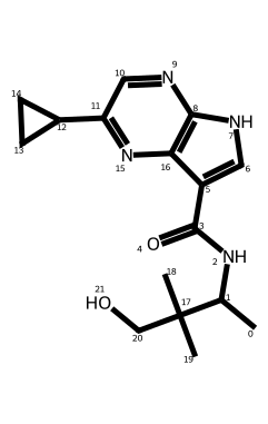 CC(NC(=O)c1c[nH]c2ncc(C3CC3)nc12)C(C)(C)CO